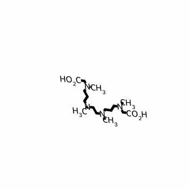 CN(CCCN(C)CC(=O)O)CCN(C)CCCN(C)CC(=O)O